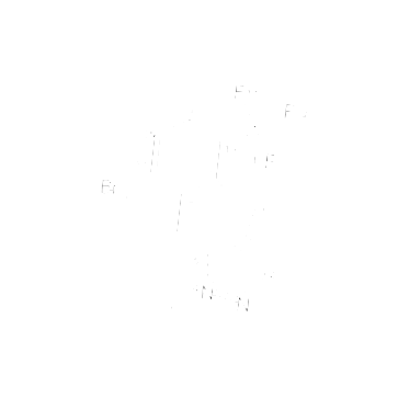 Cc1cnn(C)c1Cc1cc(C(F)(F)F)ccc1Br